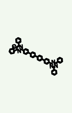 c1ccc(-c2nc(-c3ccccc3)nc(-c3ccc(-c4ccc(-c5ccc(-c6ccc(-c7nc(-c8ccccc8)c8oc9ccccc9c8n7)cc6)cc5)cc4)cc3)n2)cc1